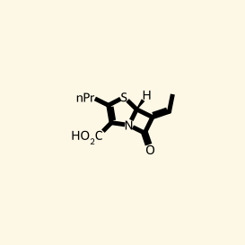 C/C=C1/C(=O)N2C(C(=O)O)=C(CCC)S[C@H]12